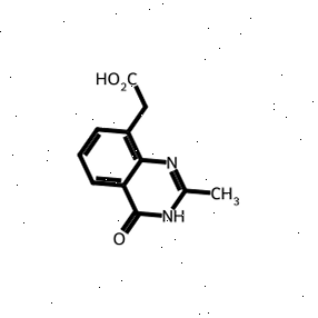 Cc1nc2c(CC(=O)O)cccc2c(=O)[nH]1